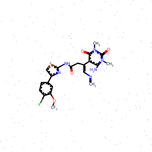 C=N/C=C(/CC(=O)Nc1nc(-c2ccc(F)c(OC(F)(F)F)c2)cs1)c1c(N)n(C)c(=O)n(C)c1=O